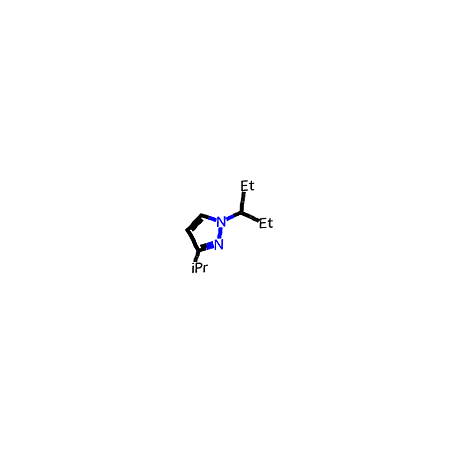 CCC(CC)n1ccc(C(C)C)n1